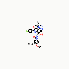 COc1cc(C(=O)NC[C@](O)(c2cc3c(c(-c4ccc(F)cc4)n2)OC[C@]3(C)n2cnnc2)C2CC2)ccc1OC1CC1